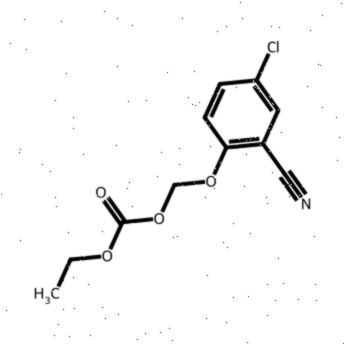 CCOC(=O)OCOc1ccc(Cl)cc1C#N